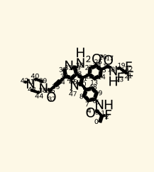 C=C(F)C(=O)Nc1ccc(-c2c(-c3ccc(C(=O)NCC(F)(F)F)c(OC)c3)c3c(N)ncc(C#CC(=O)N4CCN(C)CC4)c3n2C)cc1